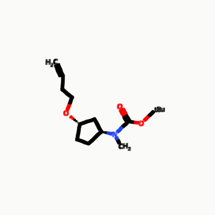 C=CCCO[C@H]1CC[C@H](N(C)C(=O)OC(C)(C)C)C1